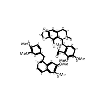 COc1ccc(Cc2nccc3cc(OC)c(OC)cc23)cc1OC.COc1ccc2c(c1OC)C(=O)O[C@@H]2[C@H]1c2c(cc3c(c2OC)OCO3)CCN1C